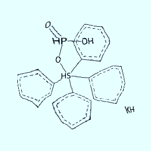 O=[PH](O)O[SH](c1ccccc1)(c1ccccc1)(c1ccccc1)c1ccccc1.[KH]